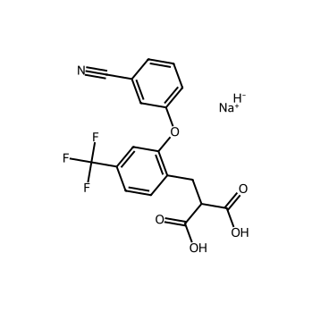 N#Cc1cccc(Oc2cc(C(F)(F)F)ccc2CC(C(=O)O)C(=O)O)c1.[H-].[Na+]